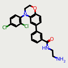 NCCNC(=O)c1cccc(-c2ccc3c(c2)N(c2ccc(Cl)cc2Cl)CCO3)c1